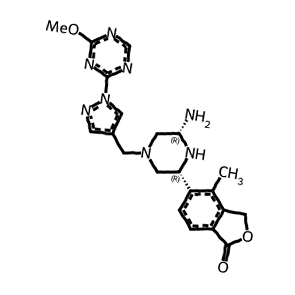 COc1ncnc(-n2cc(CN3C[C@@H](c4ccc5c(c4C)COC5=O)N[C@@H](N)C3)cn2)n1